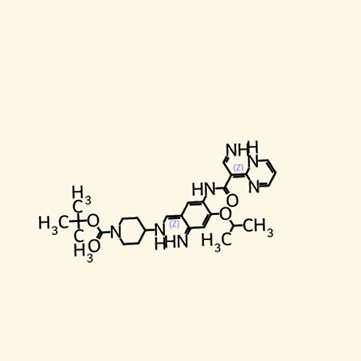 CC(C)OC1=CC(=N)/C(=C\NC2CCN(C(=O)OC(C)(C)C)CC2)C=C1NC(=O)/C(C=N)=C1\N=CC=CN1